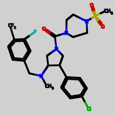 CN(Cc1ccc(C(F)(F)F)c(F)c1)C1CN(C(=O)N2CCN(S(C)(=O)=O)CC2)CC1c1ccc(Cl)cc1